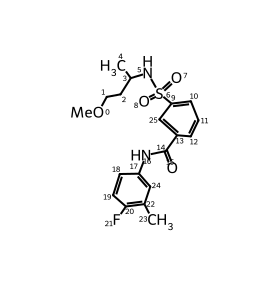 COCCC(C)NS(=O)(=O)c1cccc(C(=O)Nc2ccc(F)c(C)c2)c1